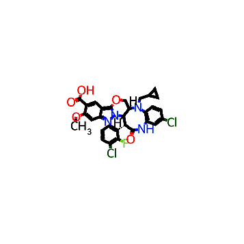 COc1cc2nn3c(c2cc1C(=O)O)OC[C@@H]1[C@H]3[C@@H](c2cccc(Cl)c2F)C(=O)Nc2cc(Cl)ccc2N1CC1CC1